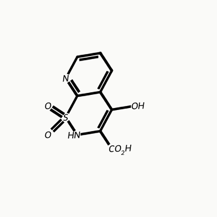 O=C(O)C1=C(O)c2cccnc2S(=O)(=O)N1